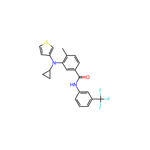 Cc1ccc(C(=O)Nc2cccc(C(F)(F)F)c2)cc1N(c1ccsc1)C1CC1